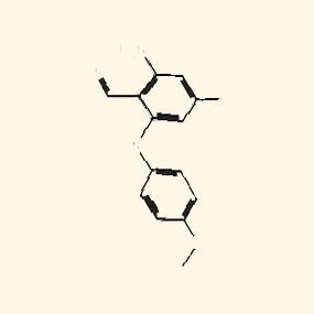 CSc1ccc(Nc2cc(Cl)cc(N)c2C=N)cc1